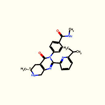 CNC(=O)c1ccc(-n2c(-c3cccc(C(C)C)n3)nc3c(c2=O)C[C@@H](C)NC3)cc1